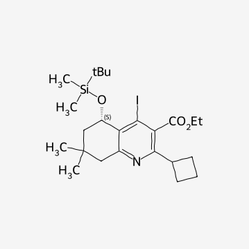 CCOC(=O)c1c(C2CCC2)nc2c(c1I)[C@@H](O[Si](C)(C)C(C)(C)C)CC(C)(C)C2